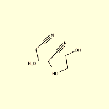 CCC#N.CCC#N.O.OCCO